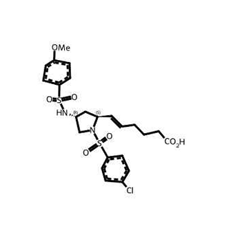 COc1ccc(S(=O)(=O)N[C@@H]2C[C@@H](C=CCCCC(=O)O)N(S(=O)(=O)c3ccc(Cl)cc3)C2)cc1